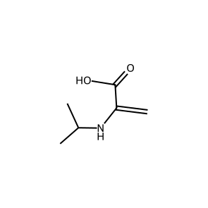 C=C(NC(C)C)C(=O)O